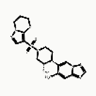 CO[C@@H]1CN(S(=O)(=O)c2cnn3c2OCCC3)CC[C@H]1c1cn2ncnc2cc1C